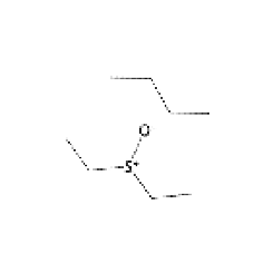 CCCC.CC[S+]([O-])CC